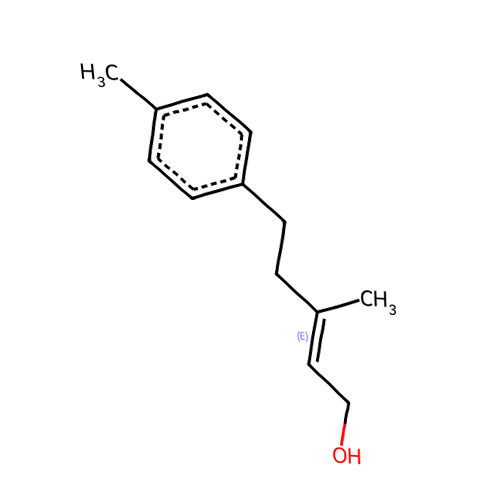 C/C(=C\CO)CCc1ccc(C)cc1